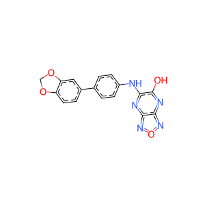 Oc1nc2nonc2nc1Nc1ccc(-c2ccc3c(c2)OCO3)cc1